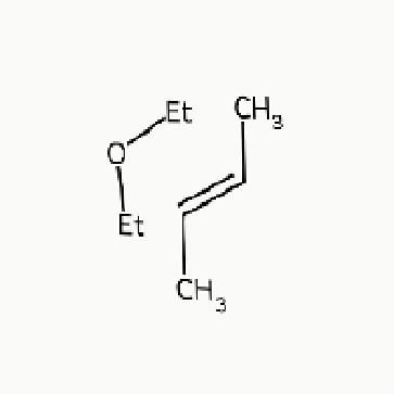 CC=CC.CCOCC